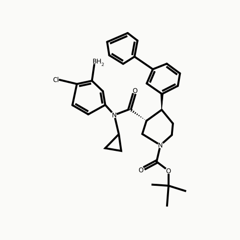 Bc1cc(N(C(=O)[C@H]2CN(C(=O)OC(C)(C)C)CC[C@@H]2c2cccc(-c3ccccc3)c2)C2CC2)ccc1Cl